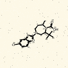 CC1CCN(c2nc3cc(Cl)ccc3o2)CC(C(C)(C)C)N1C(=O)O